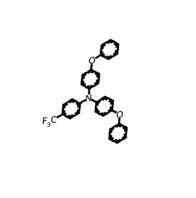 FC(F)(F)c1ccc(N(c2ccc(Oc3ccccc3)cc2)c2ccc(Oc3ccccc3)cc2)cc1